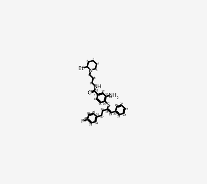 CCC1CCCCN1CCCNC(=O)c1ccc(S/C(=C\c2ccccc2)CCc2ccc(F)cc2)c(N)c1